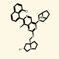 Fc1c(-c2cccc3cccc(Cl)c23)ncc2c(N3CC4CCC(C3)N4)nc(OC[C@@]34CCCN3C[C@H](F)C4)nc12